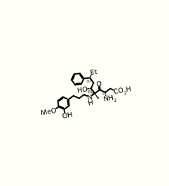 CC[C@@H](C[C@H](O)[C@@](C)(NCCCc1ccc(OC)c(O)c1)C(=O)[C@@H](N)CC(=O)O)c1ccccc1